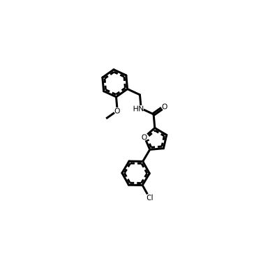 COc1ccccc1CNC(=O)c1ccc(-c2cccc(Cl)c2)o1